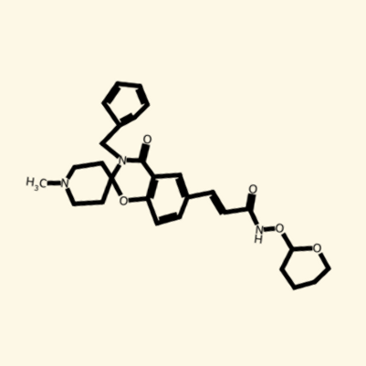 CN1CCC2(CC1)Oc1ccc(/C=C/C(=O)NOC3CCCCO3)cc1C(=O)N2Cc1ccccc1